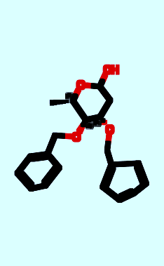 C[C@@H]1OC(O)C[C@H](OCc2ccccc2)[C@H]1OCc1ccccc1